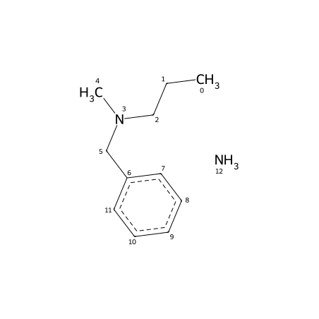 CCCN(C)Cc1ccccc1.N